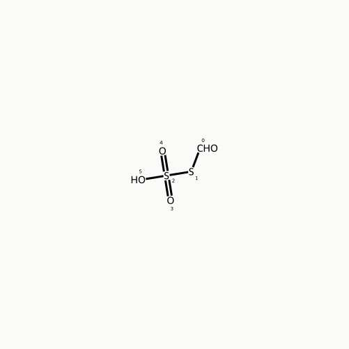 O=CSS(=O)(=O)O